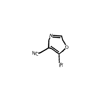 CC(C)c1ocnc1C#N